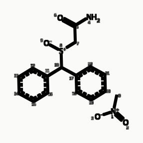 C[N+](=O)[O-].NC(=O)C[S+]([O-])C(c1ccccc1)c1ccccc1